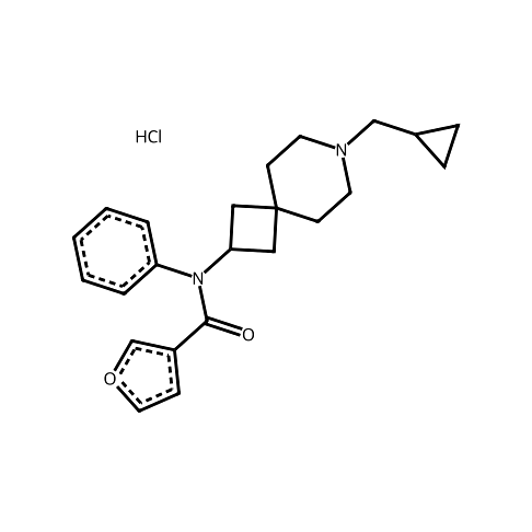 Cl.O=C(c1ccoc1)N(c1ccccc1)C1CC2(CCN(CC3CC3)CC2)C1